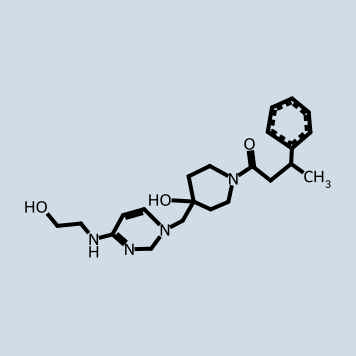 CC(CC(=O)N1CCC(O)(CN2C=CC(NCCO)=NC2)CC1)c1ccccc1